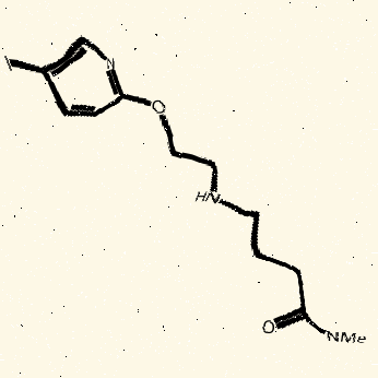 CNC(=O)CCCNCCOc1ccc(I)cn1